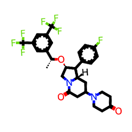 C[C@@H](O[C@H]1CN2C(=O)CC(N3CCC(=O)CC3)C[C@H]2C1c1ccc(F)cc1)c1cc(C(F)(F)F)cc(C(F)(F)F)c1